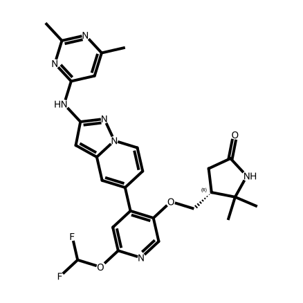 Cc1cc(Nc2cc3cc(-c4cc(OC(F)F)ncc4OC[C@@H]4CC(=O)NC4(C)C)ccn3n2)nc(C)n1